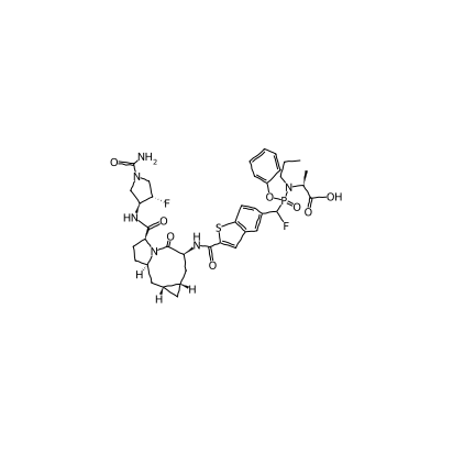 CCCN([C@@H](C)C(=O)O)P(=O)(Oc1ccccc1)C(F)c1ccc2sc(C(=O)N[C@H]3C[C@@H]4C[C@@H]4C[C@H]4CC[C@@H](C(=O)N[C@H]5CN(C(N)=O)C[C@@H]5F)N4C3=O)cc2c1